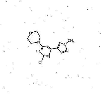 Cn1cc(-c2cc(N3CCOCC3)nc(Cl)n2)cn1